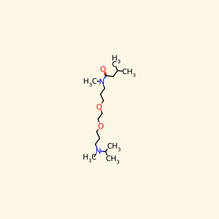 CC(C)CC(=O)N(C)CCCOCCOCCCN(C)C(C)C